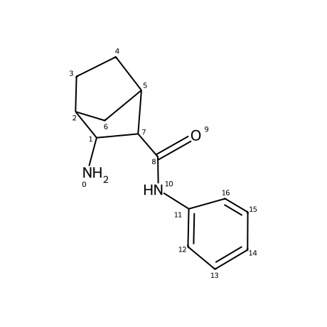 NC1C2CCC(C2)C1C(=O)Nc1ccccc1